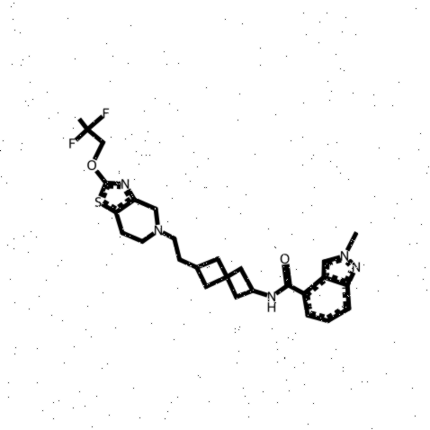 Cn1cc2c(C(=O)NC3CC4(CC(CCN5CCc6sc(OCC(C)(F)F)nc6C5)C4)C3)cccc2n1